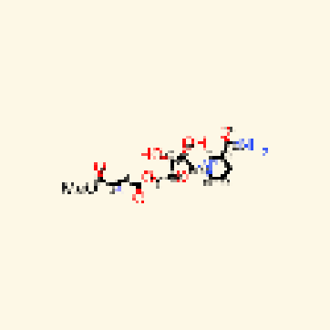 COC(=O)/C=C/C(=O)OC[C@H]1O[C@@H]([n+]2cccc(C(N)=O)c2)[C@H](O)[C@@H]1O